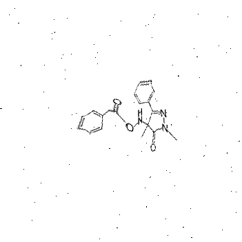 CN1N=C(c2ccccc2)C(C)(NOC(=O)c2ccccc2)C1=O